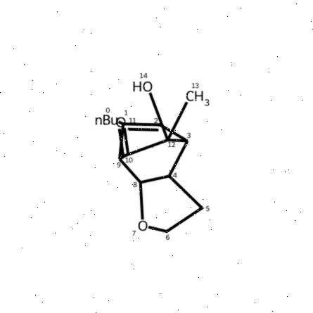 CCCCC1=CC2C3CCOC3C1C(=O)C2(C)O